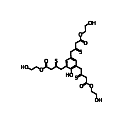 O=C(CC(=S)Cc1cc(CC(=S)CC(=O)OCCO)c(O)c(CC(=S)CC(=O)OCCO)c1)OCCO